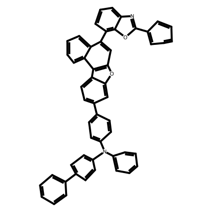 c1ccc(-c2ccc(N(c3ccccc3)c3ccc(-c4ccc5c(c4)oc4cc(-c6cccc7nc(-c8ccccc8)oc67)c6ccccc6c45)cc3)cc2)cc1